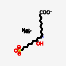 O=C([O-])CCCCCCC/C=C\C[C@H](O)CCCCCCS(=O)(=O)[O-].[Na+].[Na+]